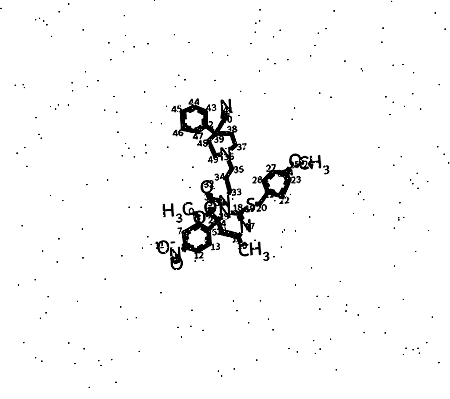 COC(=O)C1(c2ccc([N+](=O)[O-])cc2)C=C(C)N=C(SCc2ccc(OC)cc2)N1N(C=O)CCCN1CCC(C#N)(c2ccccc2)CC1